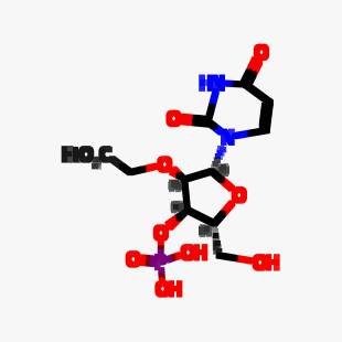 CCOC(=O)CO[C@@H]1[C@H](OP(=O)(O)O)[C@@H](CO)O[C@H]1n1ccc(=O)[nH]c1=O